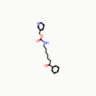 O=C(NCCCCCCC(=O)c1ccccc1)OCc1cccnc1